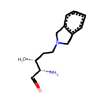 C[C@H](CCN1Cc2ccccc2C1)[C@H](N)C=O